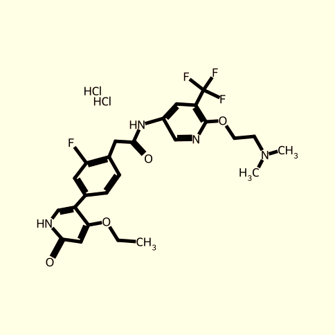 CCOc1cc(=O)[nH]cc1-c1ccc(CC(=O)Nc2cnc(OCCN(C)C)c(C(F)(F)F)c2)c(F)c1.Cl.Cl